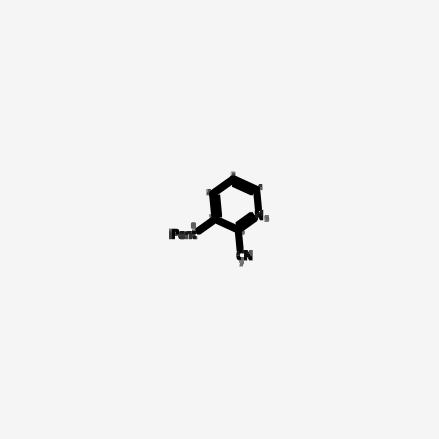 CCCC(C)c1cccnc1C#N